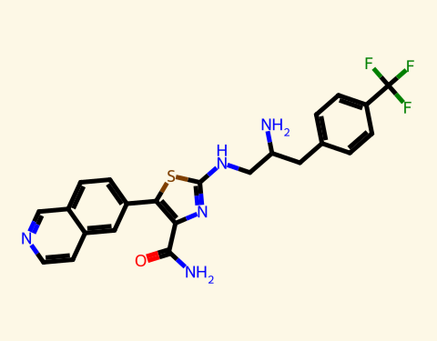 NC(=O)c1nc(NCC(N)Cc2ccc(C(F)(F)F)cc2)sc1-c1ccc2cnccc2c1